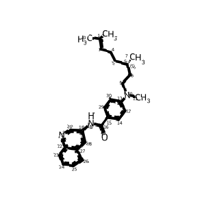 CC(C)=CCC[C@H](C)CCN(C)c1ccc(C(=O)Nc2cnc3ccccc3c2)cc1